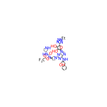 CCn1nnc([C@H]2O[C@@H](n3cnc4c(N[C@H](CO)Cc5ccccc5)nc(N5CC[C@@H](N(OC(=O)C(F)(F)F)C(=O)NC6CCNC6)C5)nc43)[C@@H](O)[C@@H]2O)n1